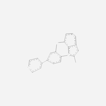 Cc1cc2cccc3c2n1-c1ccc(-c2ccncc2)cc1O3